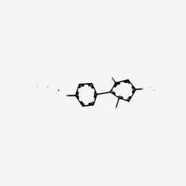 CCCCCOc1ccc(-c2c(F)cc(C#N)cc2F)cc1